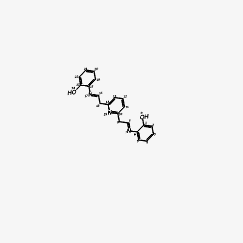 Oc1ccccc1N=CCc1cccc(CC=Nc2ccccc2O)n1